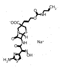 C=CCNC(=O)OCC=CC1(C(=O)[O-])CS[C@@H]2C(NC(=O)C(=NO)c3csc(N)n3)C(=O)N2C1.[Na+]